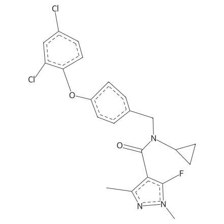 Cc1nn(C)c(F)c1C(=O)N(Cc1ccc(Oc2ccc(Cl)cc2Cl)cc1)C1CC1